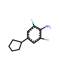 Nc1c(F)cc(C2CCCC2)cc1F